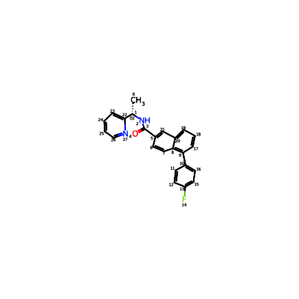 C[C@H](NC(=O)c1ccc2c(-c3ccc(F)cc3)cccc2c1)c1ccccn1